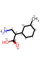 CC1CCCC(C(CN)C(=O)O)C1